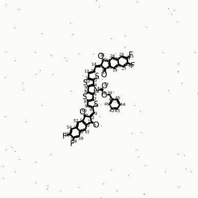 O=C1C(=Cc2cc3sc4c5sc6cc(C=C7C(=O)c8cc9cc(F)c(F)cc9cc8C7=O)sc6c5n(C(=O)OCc5ccccc5)c4c3s2)C(=O)c2cc3cc(F)c(F)cc3cc21